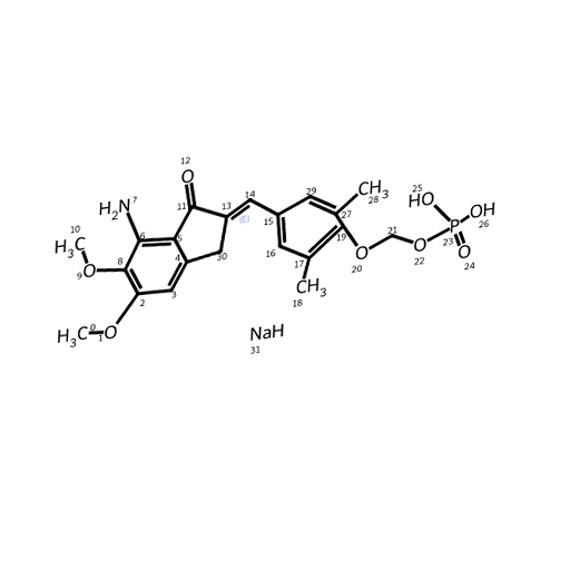 COc1cc2c(c(N)c1OC)C(=O)/C(=C/c1cc(C)c(OCOP(=O)(O)O)c(C)c1)C2.[NaH]